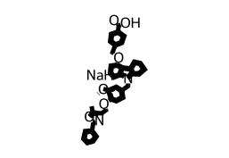 COc1cc(Cn2c3ccccc3c3c(OCc4ccc(C(=O)O)cc4)cccc32)ccc1OCc1nc(-c2ccccc2)oc1C.[NaH]